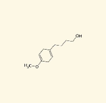 COC1=CCC(CCCCO)=CC1